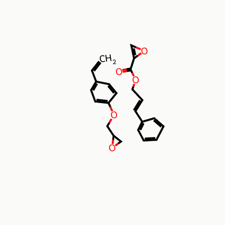 C=Cc1ccc(OCC2CO2)cc1.O=C(OCC=Cc1ccccc1)C1=CO1